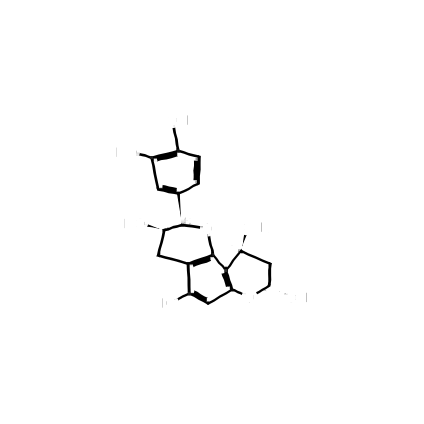 C[C@H]1C[C@H](O)Oc2cc(O)c3c(c21)O[C@H](c1ccc(O)c(O)c1)[C@H](O)C3